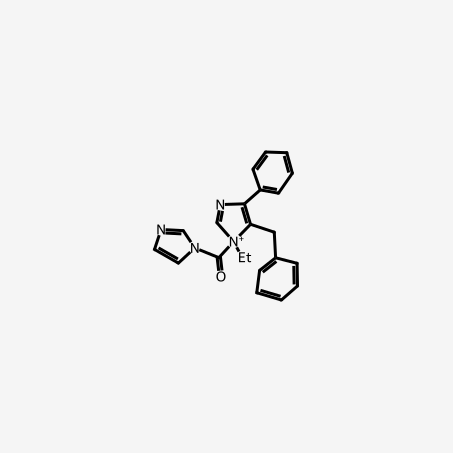 CC[N+]1(C(=O)n2ccnc2)C=NC(c2ccccc2)=C1Cc1ccccc1